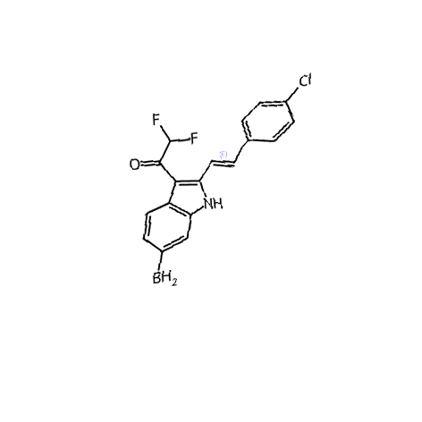 Bc1ccc2c(C(=O)C(F)F)c(/C=C/c3ccc(Cl)cc3)[nH]c2c1